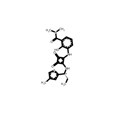 CC[C@@H](Nc1c(Nc2cccc(C(=O)N(C)C)c2O)c(=O)c1=O)c1cc(C)cs1